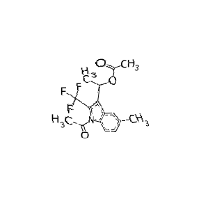 CC(=O)OC(C)c1c(C(F)(F)F)n(C(C)=O)c2ccc(C)cc12